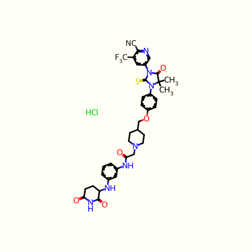 CC1(C)C(=O)N(c2cnc(C#N)c(C(F)(F)F)c2)C(=S)N1c1ccc(OCC2CCN(CC(=O)Nc3cccc(NC4CCC(=O)NC4=O)c3)CC2)cc1.Cl